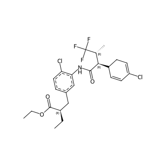 CCOC(=O)[C@H](CC)Cc1ccc(Cl)c(NC(=O)[C@H](C2C=CC(Cl)=CC2)[C@@H](C)C(F)(F)F)c1